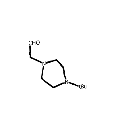 CC(C)(C)N1CCN(CC=O)CC1